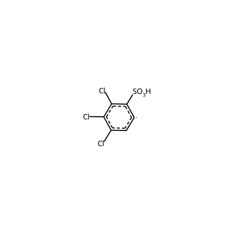 O=S(=O)(O)c1[c]cc(Cl)c(Cl)c1Cl